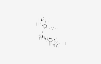 C=C1C[C@H]2CNc3cc(OCCCP(=O)(CCCC)CCCOc4cc5c(cc4OC)C(=O)N4CC(=C)C[C@H]4C(S(=O)(=O)O)N5)c(OC)cc3C(=O)N2C1